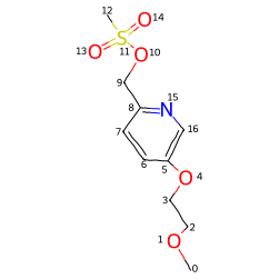 COCCOc1ccc(COS(C)(=O)=O)nc1